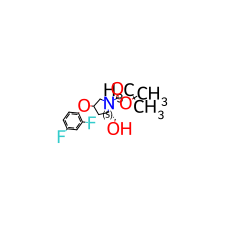 CC(C)(C)OC(=O)N1CC(Oc2ccc(F)cc2F)C[C@H]1CO